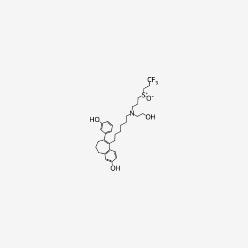 [O-][S+](CCCN(CCO)CCCCCCC1=C(c2cccc(O)c2)CCCc2cc(O)ccc21)CCC(F)(F)F